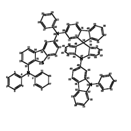 C1=CC(N(c2ccccc2)c2cccc3c2sc2ccc(N(c4ccccc4)c4ccc5c(c4)C4(c6ccccc6-5)c5ccccc5N(c5ccc6c7ccccc7n(-c7ccccc7)c6c5)c5ccccc54)cc23)=CCC1